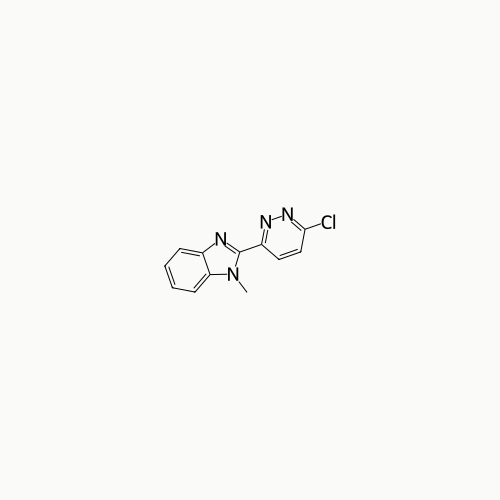 Cn1c(-c2ccc(Cl)nn2)nc2ccccc21